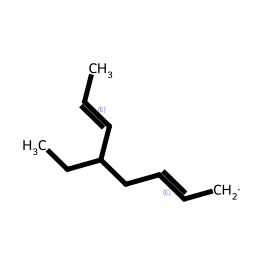 [CH2]/C=C/CC(/C=C/C)CC